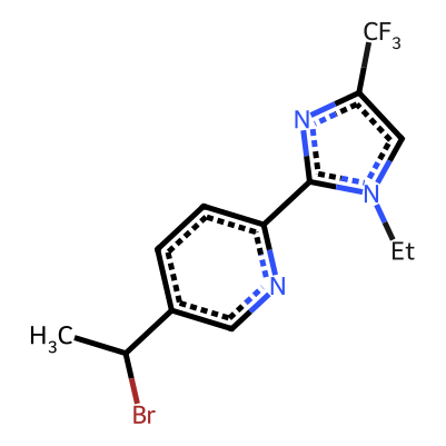 CCn1cc(C(F)(F)F)nc1-c1ccc(C(C)Br)cn1